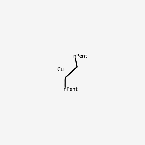 [CH2]CCCCCCCCCCC.[Cu]